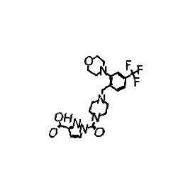 O=C(O)c1ccn(C(=O)N2CCN(Cc3ccc(C(F)(F)F)cc3N3CCOCC3)CC2)n1